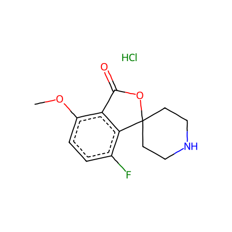 COc1ccc(F)c2c1C(=O)OC21CCNCC1.Cl